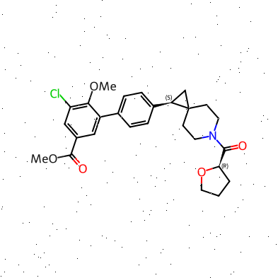 COC(=O)c1cc(Cl)c(OC)c(-c2ccc([C@H]3CC34CCN(C(=O)[C@H]3CCCO3)CC4)cc2)c1